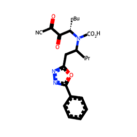 CCCC[C@@H](C(=O)C(=O)C#N)N(C(=O)O)C(Cc1nnc(-c2ccccc2)o1)C(C)C